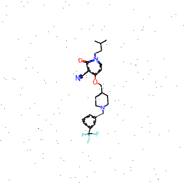 CC(C)CCn1ccc(OCC2CCN(Cc3cccc(C(F)(F)F)c3)CC2)c(C#N)c1=O